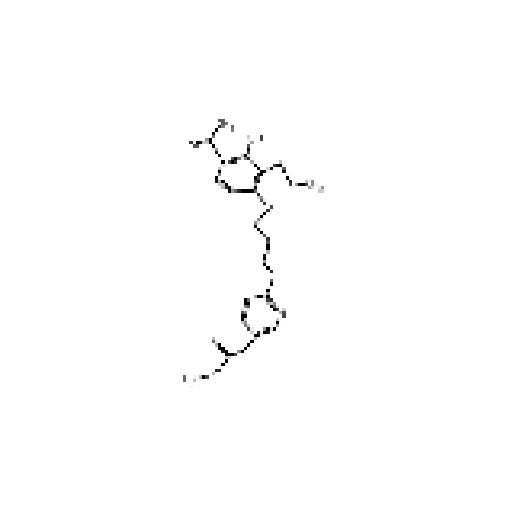 CCCc1c(OCCCSc2ccc(CC(=O)OC)cn2)ccc(C(C)=O)c1O